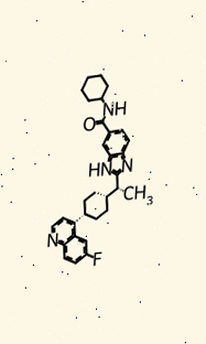 C[C@@H](c1nc2ccc(C(=O)NC3CCCCC3)cc2[nH]1)[C@H]1CC[C@@H](c2ccnc3ccc(F)cc32)CC1